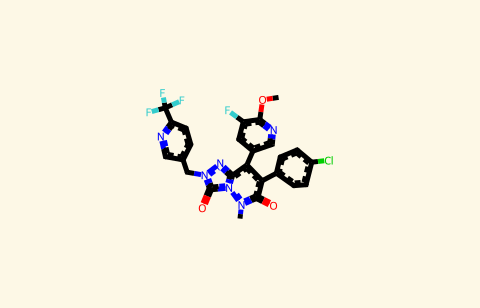 COc1ncc(-c2c(-c3ccc(Cl)cc3)c(=O)n(C)n3c(=O)n(Cc4ccc(C(F)(F)F)nc4)nc23)cc1F